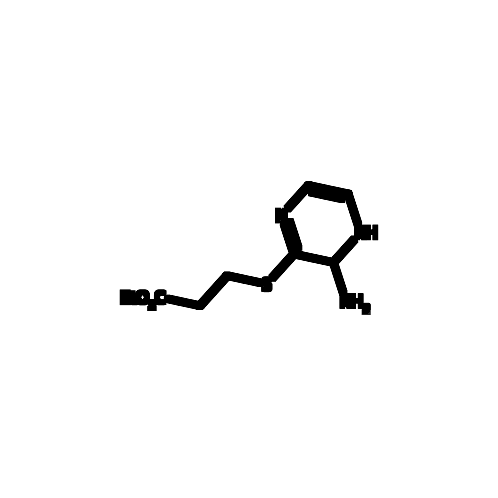 CCOC(=O)CCSC1=NC=CNC1N